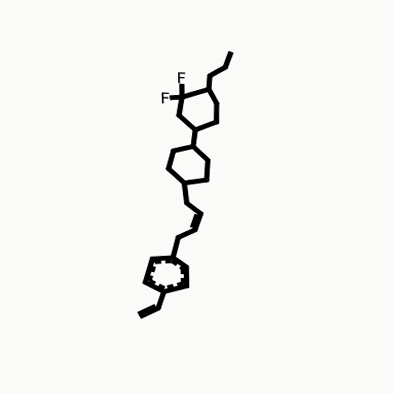 C=Cc1ccc(C/C=C\CC2CCC(C3CCC(CCC)C(F)(F)C3)CC2)cc1